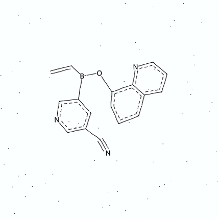 C=CB(Oc1cccc2cccnc12)c1cncc(C#N)c1